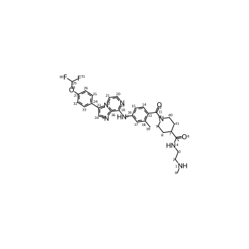 CNCCNC(=O)C1CCN(C(=O)c2ccc(Nc3nccn4c(-c5ccc(OC(F)F)cc5)cnc34)cc2C)CC1